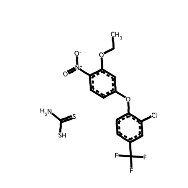 CCOc1cc(Oc2ccc(C(F)(F)F)cc2Cl)ccc1[N+](=O)[O-].NC(=S)S